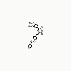 CCC1OC(=O)N(CCc2ccc(NC(=O)c3ccncc3)cc2)N=C1c1ccc(OC)c(OC)c1